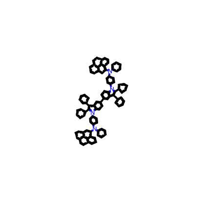 c1ccc(-c2c(-c3ccccc3)n(-c3ccc(N(c4ccccc4)c4cc5cccc6ccc7cccc4c7c65)cc3)c3ccc(-c4ccc5c(c4)c(-c4ccccc4)c(-c4ccccc4)n5-c4ccc(N(c5ccccc5)c5cc6cccc7ccc8cccc5c8c76)cc4)cc23)cc1